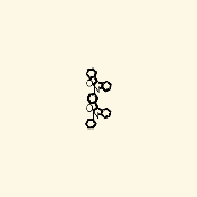 c1ccc(-n2c3ccccc3c3c4cc(-n5c6ccccc6c6c7ccccc7oc65)ccc4oc32)cc1